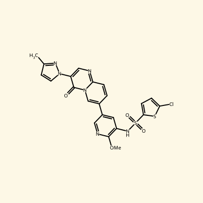 COc1ncc(-c2ccc3ncc(-n4ccc(C)n4)c(=O)n3c2)cc1NS(=O)(=O)c1ccc(Cl)s1